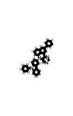 c1ccc(-c2cc3c4c(cccc4c2)N(c2ccc4c(c2)c2ccccc2n4-c2ccccc2)c2cncnc2-3)cc1